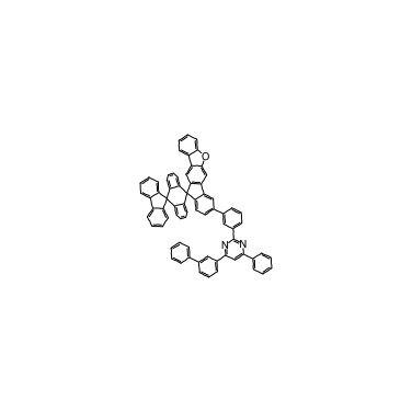 c1ccc(-c2cccc(-c3cc(-c4ccccc4)nc(-c4cccc(-c5ccc6c(c5)-c5cc7oc8ccccc8c7cc5C65c6ccccc6C6(c7ccccc7-c7ccccc76)c6ccccc65)c4)n3)c2)cc1